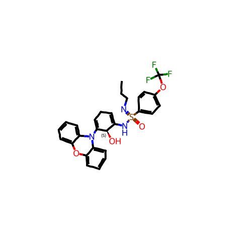 CCCN=S(=O)(NC1=CCC=C(N2c3ccccc3Oc3ccccc32)[C@@H]1O)c1ccc(OC(F)(F)F)cc1